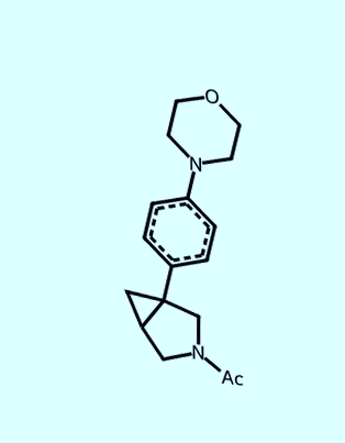 CC(=O)N1CC2CC2(c2ccc(N3CCOCC3)cc2)C1